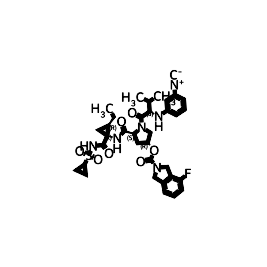 [C-]#[N+]c1cccc(N[C@H](C(=O)N2C[C@H](OC(=O)N3Cc4cccc(F)c4C3)C[C@H]2C(=O)N[C@]2(C(=O)NS(=O)(=O)C3CC3)C[C@H]2CC)C(C)C)c1